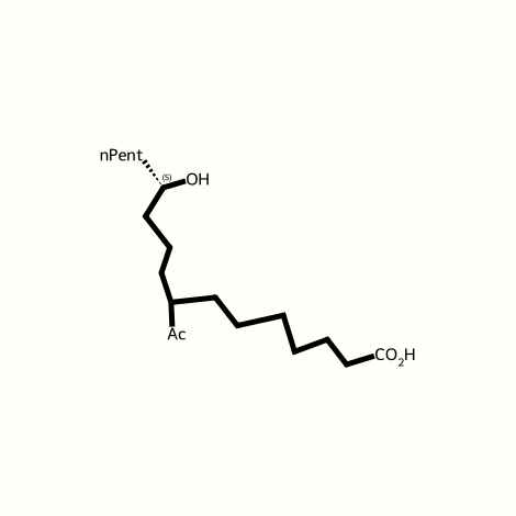 CCCCC[C@H](O)CCCC(CCCCCCC(=O)O)C(C)=O